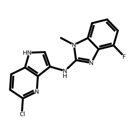 Cn1c(Nc2c[nH]c3ccc(Cl)nc23)nc2c(F)cccc21